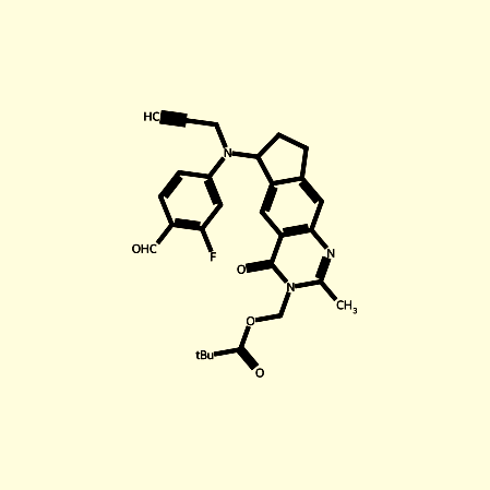 C#CCN(c1ccc(C=O)c(F)c1)C1CCc2cc3nc(C)n(COC(=O)C(C)(C)C)c(=O)c3cc21